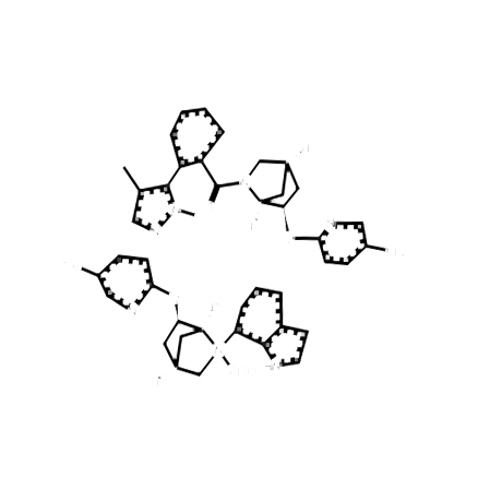 Cc1cnn(C)c1-c1ccccc1C(=O)N1C[C@H]2C[C@@H](Oc3ccc(C(F)(F)F)cn3)[C@@H]1C2.O=C[N+]1(c2cccc3cc[nH]c23)C[C@H]2C[C@@H](Oc3ccc(C(F)(F)F)cn3)[C@@H]1C2